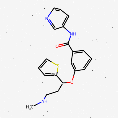 CNCCC(Oc1cccc(C(=O)Nc2cccnc2)c1)c1cccs1